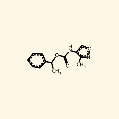 Cc1nocc1NC(=O)OC(C)c1ccccc1